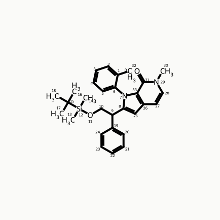 Cc1ccccc1-n1c(C(CO[Si](C)(C)C(C)(C)C)c2ccccc2)cc2ccn(C)c(=O)c21